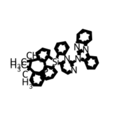 CC1(C)c2ccccc2Sc2c(cccc2[Si](c2ccccc2)(c2ccccc2)c2ccnc(-n3c4ccccc4n4c5ccccc5nc34)n2)C1(C)C